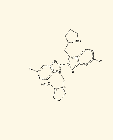 O=C(O)N1CCC[C@H]1Cn1c(-c2[nH]c3cc(F)ccc3c2CC2CCCN2)nc2cc(F)ccc21